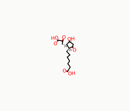 O=C(O)CCCCCC[C@@H]1C(=O)C[C@H](O)[C@H]1CC(=O)C(=O)O